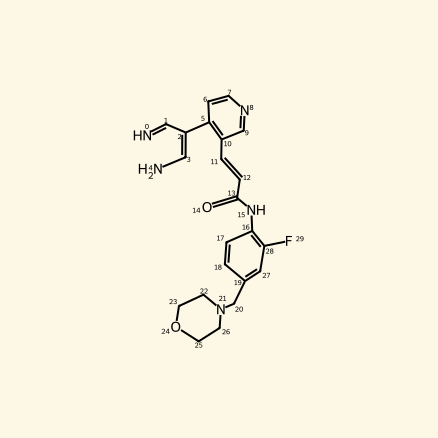 N=C/C(=C\N)c1ccncc1/C=C/C(=O)Nc1ccc(CN2CCOCC2)cc1F